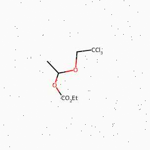 C[CH]OC(=O)OC(C)OCC(Cl)(Cl)Cl